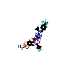 CS(=O)(=O)c1ccc2c(c1)CN(C(=O)C1CC(F)(F)C1)[C@H]2C(=O)Nc1cnc(N(Cc2ccc(C(F)(F)F)cc2)C2CC2)nc1